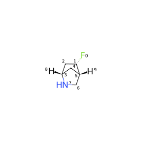 F[C@H]1C[C@@H]2C[C@H]1CN2